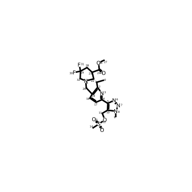 CCc1nc(-c2nnn(C)c2COS(C)(=O)=O)ccc1CN1CC(C(=O)OC)CC(F)(F)C1